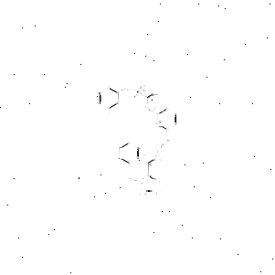 Cn1nnnc1/C(=N/OCc1cccc(NC(=O)C(F)(F)Oc2ccccc2)n1)c1ccccc1